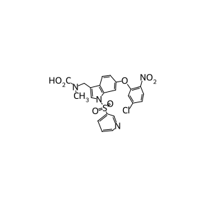 CN(Cc1cn(S(=O)(=O)c2cccnc2)c2cc(Oc3cc(Cl)ccc3[N+](=O)[O-])ccc12)C(=O)O